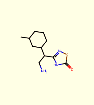 CC1CCCC(C(CN)c2nsc(=O)[nH]2)C1